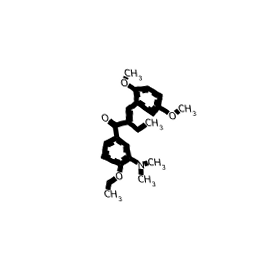 CCOc1ccc(C(=O)/C(=C/c2cc(OC)ccc2OC)CC)cc1N(C)C